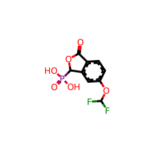 O=C1OC(P(=O)(O)O)c2cc(OC(F)F)ccc21